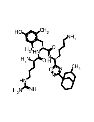 Cc1cc(O)cc(C)c1C[C@H](NC(=O)[C@H](N)CCCNC(=N)N)C(=O)N[C@@H](CCCCN)c1nc(C23CCCC(CC(C)C2)C3)no1